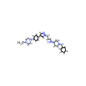 CN1CCN(c2ccc(-c3cnn(CCCNC4CCN(Cc5ccccc5)CC4)c3)cc2)CC1